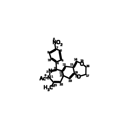 CC(=O)N1N=C(c2ccc([N+](=O)[O-])cc2)C2=CC3=COCCOC3=CC2C=C1C